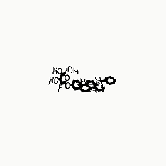 C[C@]12CC[C@H](OC3O[C@H](CO)[C@H](O)[C@H](O)[C@H]3F)CC1CC[C@@H]1[C@@H]2CC[C@@]2(C)[C@H]1CCCN2C(=O)C1CCCCC1